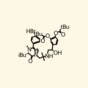 Br.CC[C@H](C)[C@@H](C(=O)NCC(C)(C)NCC(O)c1ccc(OC(=O)C(C)(C)C)c(OC(=O)C(C)(C)C)c1)N(C)C(=O)c1ccccc1